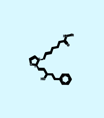 CCNC(=O)CCCC=CC[C@H]1C=CO[C@@H]1C=CC(O)CCc1ccccc1